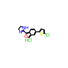 Cl.Clc1ccc(-c2ccc3c(C4=NCCN4)occ3c2)s1